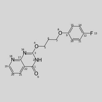 O=c1[nH]c(OCCCOc2ccc(F)cc2)nc2ncccc12